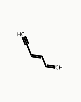 [CH]=CC=CC#C